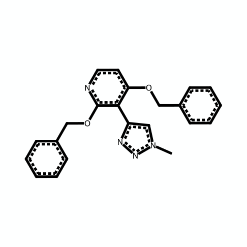 Cn1cc(-c2c(OCc3ccccc3)ccnc2OCc2ccccc2)nn1